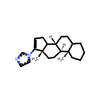 C[C@]12CCCCC1CC[C@H]1C3CC=C(n4ccnc4)[C@@]3(C)CC[C@@H]12